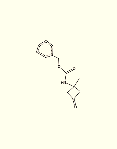 CC1(NC(=O)OCc2ccccc2)CC(=O)C1